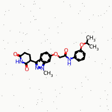 CC(C)Oc1cccc(NC(=O)COc2ccc3c(C4CCC(=O)NC4=O)nn(C)c3c2)c1